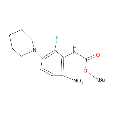 CC(C)(C)OC(=O)Nc1c([N+](=O)[O-])ccc(N2CCCCC2)c1F